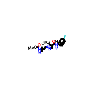 COC(=O)NC(C)(C)/C=C/n1ncc(C(=O)N[C@H]2C3CC4CC2C[C@](F)(C4)C3)c1OCC(C)C